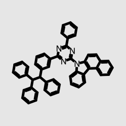 c1ccc(-c2nc(-c3cccc(C(c4ccccc4)C(c4ccccc4)c4ccccc4)c3)nc(-n3c4ccccc4c4c5ccccc5ccc43)n2)cc1